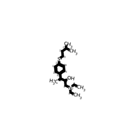 CCN(CC)CC(O)C(C)c1ccc(SCCC(C)C)cc1